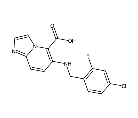 O=C(O)c1c(NCc2ccc(Cl)cc2F)ccc2nccn12